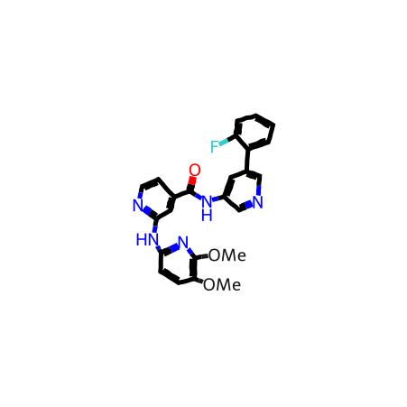 COc1ccc(Nc2cc(C(=O)Nc3cncc(-c4ccccc4F)c3)ccn2)nc1OC